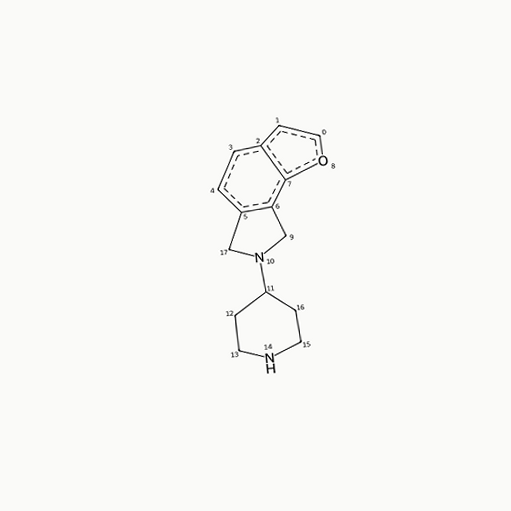 c1cc2ccc3c(c2o1)CN(C1CCNCC1)C3